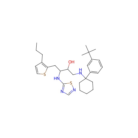 CCCc1ccsc1CC(Nc1ncns1)C(O)CNC1(c2cccc(C(C)(C)C)c2)CCCCC1